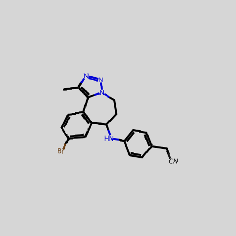 Cc1nnn2c1-c1ccc(Br)cc1C(Nc1ccc(CC#N)cc1)CC2